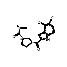 CN(C)C(=O)[C@H]1CCN(C(=O)c2cc3c(Cl)c(Cl)ccc3[nH]2)C1